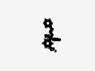 CCC(CC=Cc1ccccc1)(NC)c1cccc(C(F)(F)F)c1